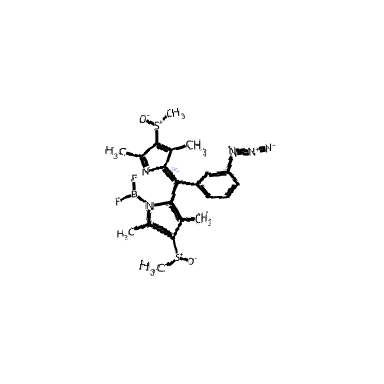 CC1=N/C(=C(/c2cccc(N=[N+]=[N-])c2)c2c(C)c([S+](C)[O-])c(C)n2B(F)F)C(C)=C1[S+](C)[O-]